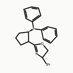 CC(C)C1COC(C2CCC[C@H]2P(c2ccccc2)c2ccccc2)=N1